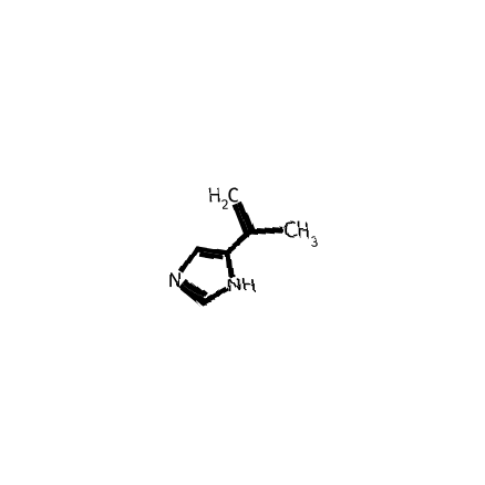 C=C(C)c1cnc[nH]1